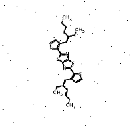 CCCCC(CC)Cc1ccsc1-c1nc2sc(-c3sccc3CC(CC)CCCC)nc2s1